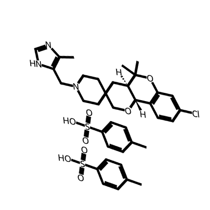 Cc1ccc(S(=O)(=O)O)cc1.Cc1ccc(S(=O)(=O)O)cc1.Cc1nc[nH]c1CN1CCC2(CC1)CO[C@H]1c3ccc(Cl)cc3OC(C)(C)[C@@H]1C2